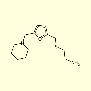 NCCSCc1ccc(CN2CCCCC2)o1